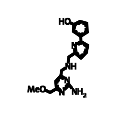 COCc1cc(CNCc2cccc(-c3cccc(O)c3)n2)nc(N)n1